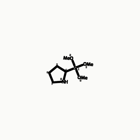 CO[Si](OC)(OC)C1CCCN1